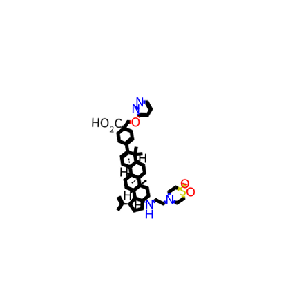 C=C(C)[C@@H]1CC[C@]2(NCCN3CCS(=O)(=O)CC3)CC[C@]3(C)[C@H](CC[C@@H]4[C@@]5(C)CC=C(C6=CCC(COc7cccnn7)(C(=O)O)CC6)C(C)(C)[C@@H]5CC[C@]43C)[C@@H]12